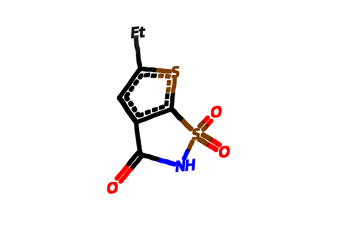 CCc1cc2c(s1)S(=O)(=O)NC2=O